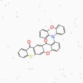 O=c1c2ccccc2sc2cc3oc4cccc(N5c6ccccc6Oc6ccccc65)c4c(=O)c3cc12